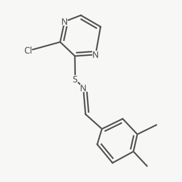 Cc1ccc(C=NSc2nccnc2Cl)cc1C